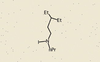 CCCN(I)CCC(CC)CC